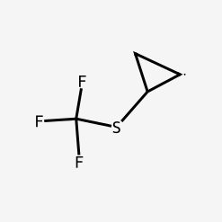 FC(F)(F)SC1[CH]C1